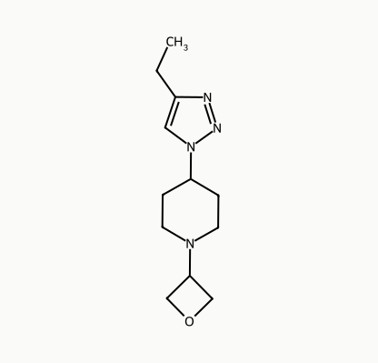 CCc1cn(C2CCN(C3COC3)CC2)nn1